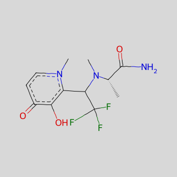 C[C@@H](C(N)=O)N(C)C(c1c(O)c(=O)ccn1C)C(F)(F)F